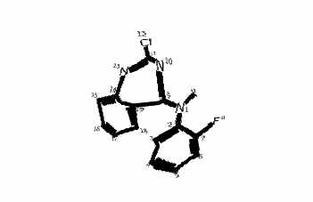 CN(c1ccccc1F)c1nc(Cl)nc2ccccc12